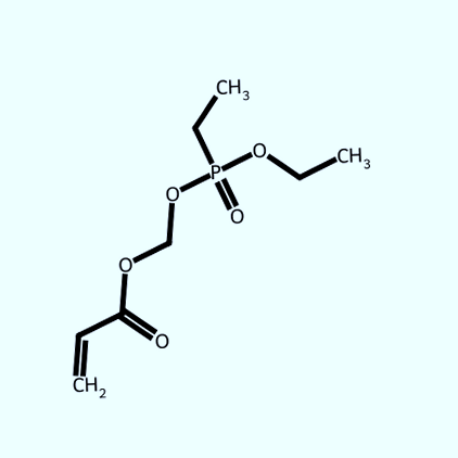 C=CC(=O)OCOP(=O)(CC)OCC